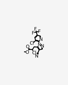 COC(=O)C(Cl)Cc1c(C#N)cnn1-c1ncc(C(F)(F)F)cc1Cl